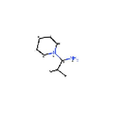 C[C](C)C(N)N1CCCCC1